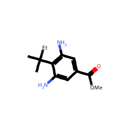 CCC(C)(C)c1c(N)cc(C(=O)OC)cc1N